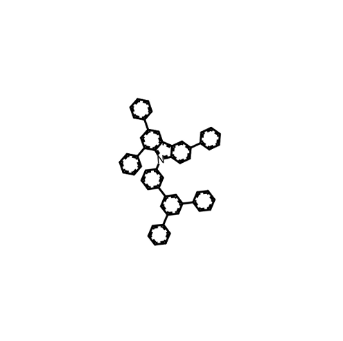 c1ccc(-c2cc(-c3ccccc3)cc(-c3cccc(-n4c5ccc(-c6ccccc6)cc5c5cc(-c6ccccc6)cc(-c6ccccc6)c54)c3)c2)cc1